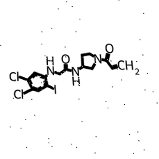 C=CC(=O)N1CCC(NC(=O)CNc2cc(Cl)c(Cl)cc2I)C1